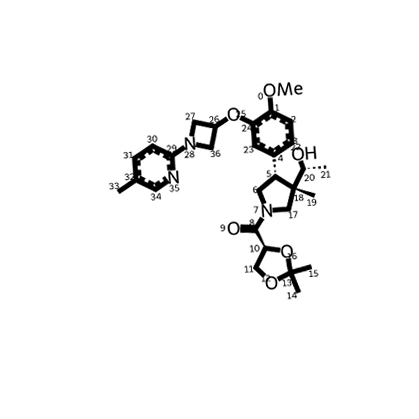 COc1ccc([C@H]2CN(C(=O)[C@@H]3COC(C)(C)O3)C[C@@]2(C)[C@@H](C)O)cc1OC1CN(c2ccc(C)cn2)C1